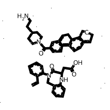 C=Cc1ccccc1N1Cc2ccccc2NC(CC(=O)O)C1=O.NCCC1CCN(C(=O)c2ccc3c(c2)=CCc2c4c(ccc2=3)=CCCC4)CC1